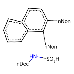 CCCCCCCCCCNS(=O)(=O)O.CCCCCCCCCc1ccc2ccccc2c1CCCCCCCCC